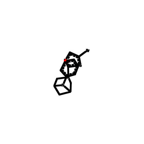 Brc1cnc(N2CC3CC(C2)N3c2ccccc2)s1